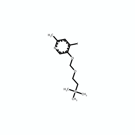 Cc1cc(I)c(OCOCC[Si](C)(C)C)cn1